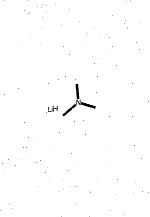 CN(C)C.[LiH]